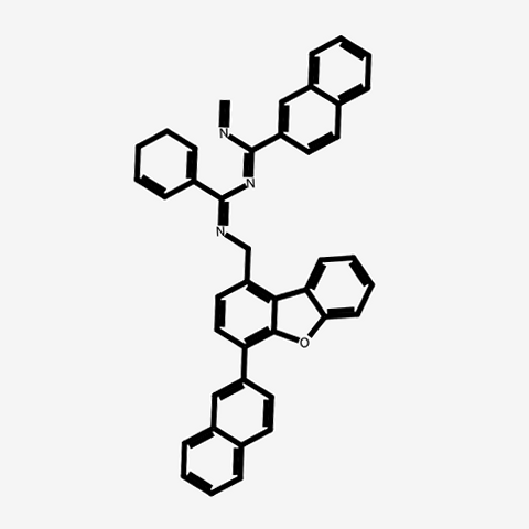 C=N/C(=N\C(=N/Cc1ccc(-c2ccc3ccccc3c2)c2oc3ccccc3c12)C1=CCCC=C1)c1ccc2ccccc2c1